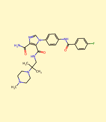 CN1CCN(C(C)(C)CNC(=O)c2c(C(N)=O)ncn2-c2ccc(NC(=O)c3ccc(F)cc3)cc2)CC1